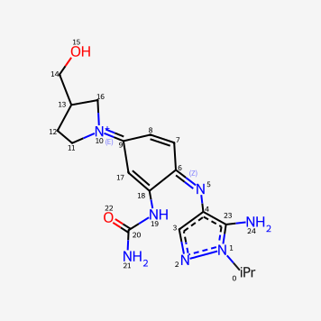 CC(C)n1ncc(/N=C2C=C/C(=[N+]3/CCC(CO)C3)C=C/2NC(N)=O)c1N